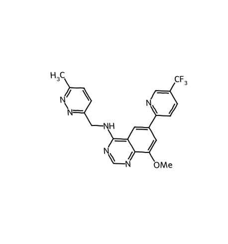 COc1cc(-c2ccc(C(F)(F)F)cn2)cc2c(NCc3ccc(C)nn3)ncnc12